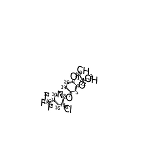 C[C@H](Oc1ccc(Oc2ncc(C(F)(F)F)cc2Cl)cc1)C(=O)O